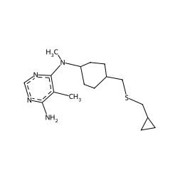 Cc1c(N)ncnc1N(C)C1CCC(CSCC2CC2)CC1